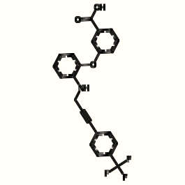 O=C(O)c1cccc(Oc2ccccc2NCC#Cc2ccc(C(F)(F)F)cc2)c1